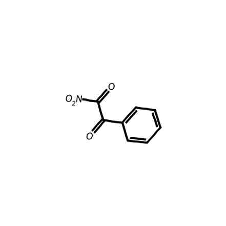 O=C(C(=O)[N+](=O)[O-])c1ccccc1